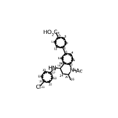 CC(=O)N1c2ccc(-c3ccc(C(=O)O)cc3)cc2C(Nc2ccc(Cl)cc2)CC1C